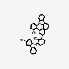 N#Cc1ccc2c(c1)c1ccccc1n2-c1cccc(-c2cccc(-c3c(C#N)cccc3-n3c4ccccc4c4ccccc43)c2)c1C#N